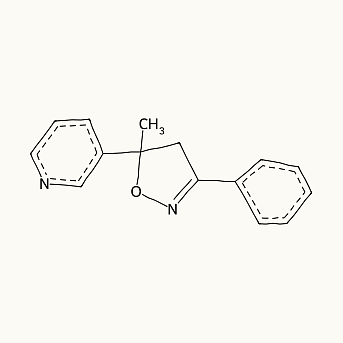 CC1(c2cccnc2)CC(c2ccccc2)=NO1